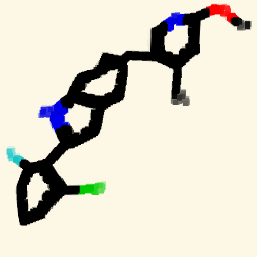 CCOc1cc(C)c(-c2ccc3[nH]c(-c4c(F)cccc4Cl)cc3c2)cn1